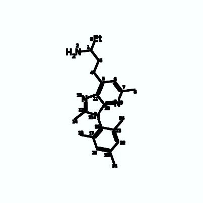 CCC(N)CCc1cc(C)nc2c1nc(C)n2-c1c(C)cc(C)cc1C